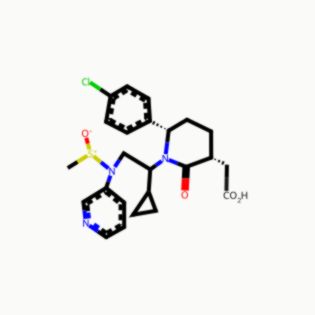 C[S+]([O-])N(CC(C1CC1)N1C(=O)[C@@H](CC(=O)O)CC[C@H]1c1ccc(Cl)cc1)c1cccnc1